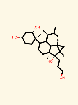 CC(C)[C@H](C)C1C2[C@@H]3C[C@@H]3[C@@](O)(CCCO)[C@@]2(C)CCC1[C@@]1(C)CC[C@H](O)C[C@@H]1O